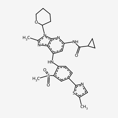 Cc1cnc(-c2ccc(Nc3cc(NC(=O)C4CC4)nc4c3nc(C)n4C3CCCCO3)c(S(C)(=O)=O)c2)s1